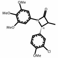 COc1ccc([C@H]2C(C)C(=O)N2c2cc(OC)c(OC)c(OC)c2)cc1Cl